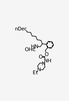 CCCCCCCCCCCCCCCCC(CNC=O)c1ccccc1COC(=O)NN1CCN(CC)CC1